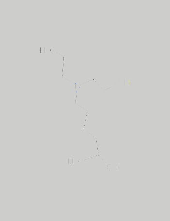 CCCN(CCS)CCCCC(C)C